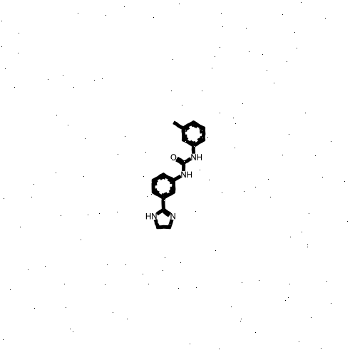 Cc1cccc(NC(=O)Nc2cccc(C3=NCCN3)c2)c1